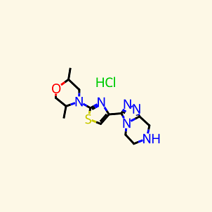 CC1CN(c2nc(-c3nnc4n3CCNC4)cs2)C(C)CO1.Cl